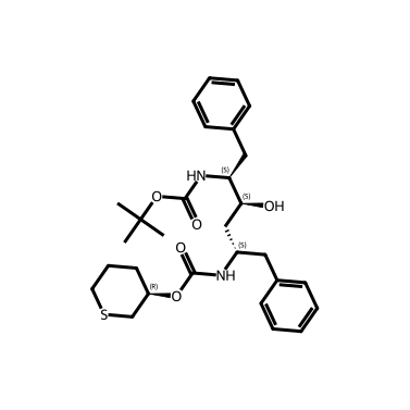 CC(C)(C)OC(=O)N[C@@H](Cc1ccccc1)[C@@H](O)C[C@H](Cc1ccccc1)NC(=O)O[C@@H]1CCCSC1